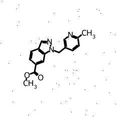 COC(=O)c1ccc2cnn(Cc3ccc(C)nc3)c2c1